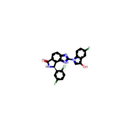 O=C1N[C@H](c2cc(F)ccc2Cl)c2c1ccc1nc(-n3cc(O)c4cc(F)ccc43)[nH]c21